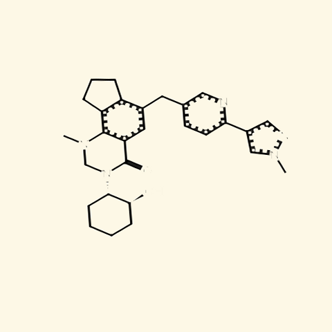 CN1CN([C@H]2CCCC[C@@H]2O)C(=O)c2cc(Cc3ccc(-c4cnn(C)c4)nc3)c3c(c21)CCC3